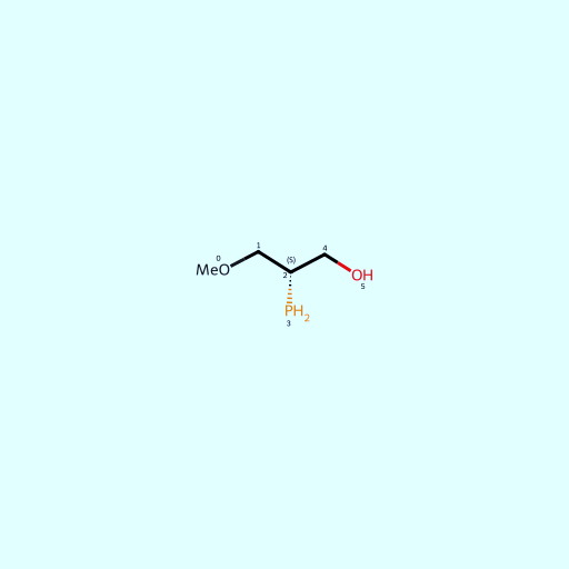 COC[C@@H](P)CO